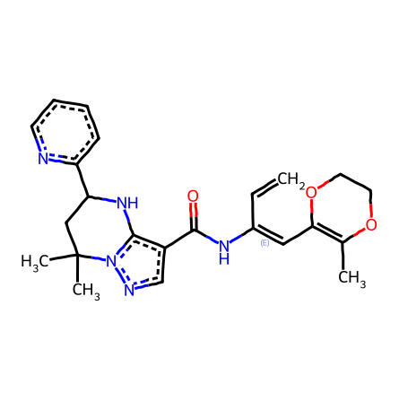 C=C/C(=C\C1=C(C)OCCO1)NC(=O)c1cnn2c1NC(c1ccccn1)CC2(C)C